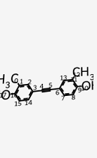 Cc1cc(C#Cc2ccc(O)c(C)c2)ccc1O